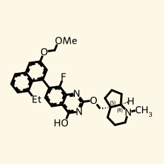 CCc1cccc2cc(OCOC)cc(-c3ccc4c(O)nc(OC[C@]56CCC[C@H]5N(C)CCC6)nc4c3F)c12